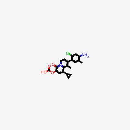 Cc1cc(-c2ccn3c(=O)c(OC(=O)O)cc(C4CC4)c3c2C)c(Cl)cc1N